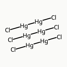 [Cl][Hg][Hg][Cl].[Cl][Hg][Hg][Cl].[Cl][Hg][Hg][Cl]